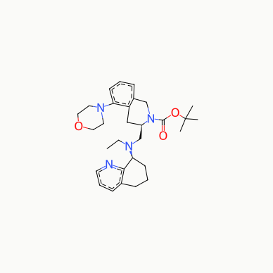 CCN(C[C@H]1Cc2c(cccc2N2CCOCC2)CN1C(=O)OC(C)(C)C)[C@H]1CCCc2cccnc21